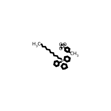 CCCCCCCCCCCC[P+](c1ccccc1)(c1ccccc1)c1ccccc1.Cc1ccc(S(=O)(=O)[O-])cc1